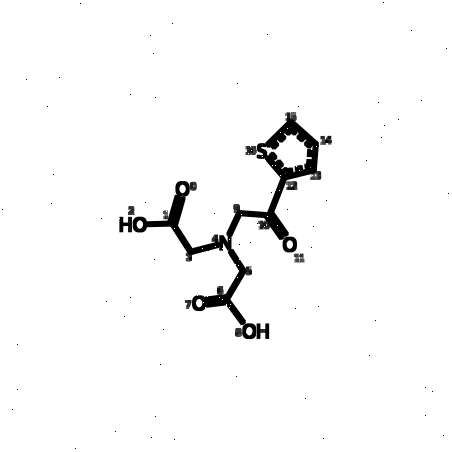 O=C(O)CN(CC(=O)O)CC(=O)c1cccs1